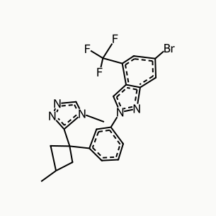 CC1CC(c2cccc(-n3cc4c(C(F)(F)F)cc(Br)cc4n3)c2)(c2nncn2C)C1